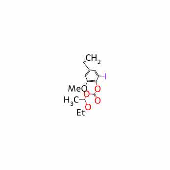 C=Cc1cc(I)c(OC(=O)OC(C)OCC)c(OC)c1